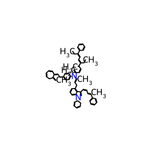 C=C(/C=C\C(=C)N(/C(C)=C/Cc1cccc2c1c(/C=C\C=C(/C)c1ccccc1)cn2C1C=CC=CC1)c1ccc(C/C=C2/C=CC=CC/C2=C/C)cc1)/C(=C/C=C(\CC)c1ccccc1)CC